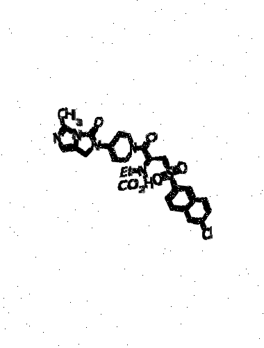 CCN(C(=O)O)[C@H](CS(=O)(=O)c1ccc2cc(Cl)ccc2c1)C(=O)N1CCC(N2Cc3cnc(C)n3C2=O)CC1